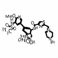 COc1ncc(-c2cc(NC(=O)c3csc(CN4CCN(C(C)C)CC4)n3)c3cn[nH]c3c2)cc1NS(C)(=O)=O.O=CO